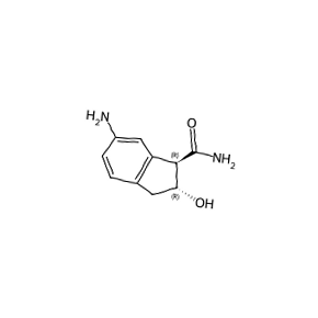 NC(=O)[C@@H]1c2cc(N)ccc2C[C@H]1O